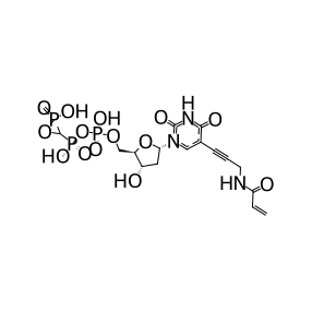 C=CC(=O)NCC#Cc1cn([C@@H]2C[C@H](O)[C@@H](COP(=O)(O)O[P@](=O)(O)C3OP3(=O)O)O2)c(=O)[nH]c1=O